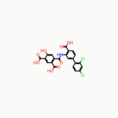 O=C(O)c1cc(C(=O)O)c(C(=O)Nc2cc(-c3ccc(Cl)cc3Cl)ccc2C(=O)O)cc1O